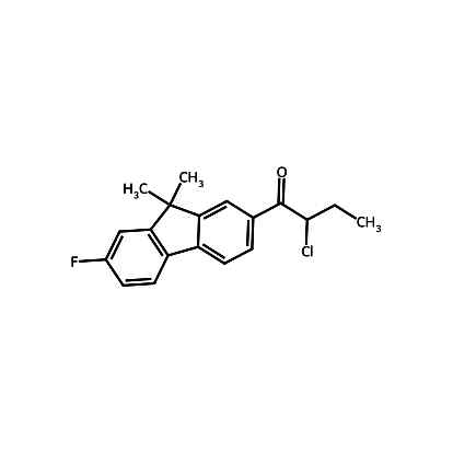 CCC(Cl)C(=O)c1ccc2c(c1)C(C)(C)c1cc(F)ccc1-2